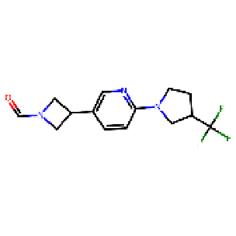 O=CN1CC(c2ccc(N3CCC(C(F)(F)F)C3)nc2)C1